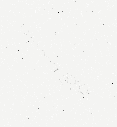 C[C@]12CC[C@H]3[C@@H](CCC4=CC(=O)CC[C@@]43C)[C@@H]1CC[C@@H]2OC(=O)CCCCCCCCCCC=O